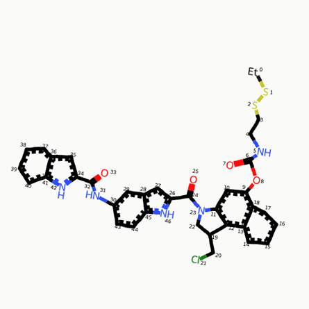 CCSSCCNC(=O)Oc1cc2c(c3ccccc13)C(CCl)CN2C(=O)c1cc2cc(NC(=O)c3cc4ccccc4[nH]3)ccc2[nH]1